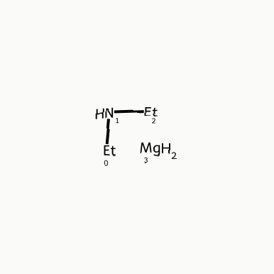 CCNCC.[MgH2]